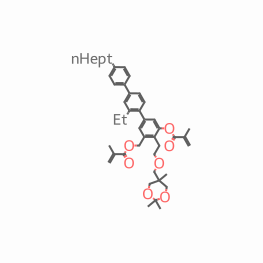 C=C(C)C(=O)OCc1cc(-c2ccc(-c3ccc(CCCCCCC)cc3)cc2CC)cc(OC(=O)C(=C)C)c1CCOCC1(C)COC(C)(C)OC1